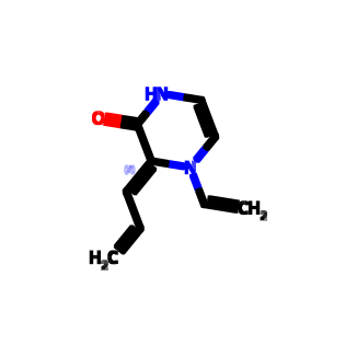 C=C/C=C1/C(=O)NC=CN1C=C